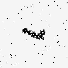 O=C(C1CCCCC1)N1CCC(c2ccc(N3CC(c4cccnc4)C3)cc2)C1